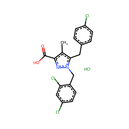 Cc1c(C(=O)O)nn(Cc2ccc(Cl)cc2Cl)c1Cc1ccc(Cl)cc1.Cl